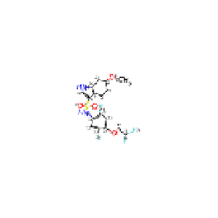 COC1CCc2c(S(=O)(=O)Nc3cc(F)c(OCC(F)F)cc3F)c[nH]c2C1